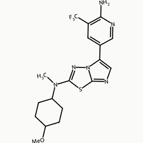 COC1CCC(N(C)c2nn3c(-c4cnc(N)c(C(F)(F)F)c4)cnc3s2)CC1